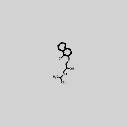 CC(C)NCC(O)COc1ccc2ccccc2c1Cl